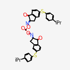 CC(C)c1ccc(Sc2ccc3c(c2)C/C(=N\OC(=O)O/N=C2\Cc4cc(Sc5ccc(C(C)C)cc5)ccc4C2=O)C3=O)cc1